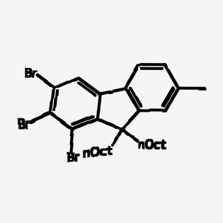 CCCCCCCCC1(CCCCCCCC)c2cc(C)ccc2-c2cc(Br)c(Br)c(Br)c21